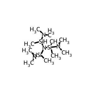 CN(C)[SiH](C)N([SiH](C)N(C)C)[Si](C)(C)N(C)C